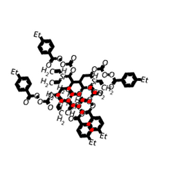 C=C[SiH](C=C)C(CC(C(C(CC(OC(=O)OOC(=O)c1ccc(CC)cc1)[SiH](C=C)C=C)C(OC(=O)OOC(=O)c1ccc(CC)cc1)[SiH](C=C)C=C)C(OC(=O)OOC(=O)c1ccc(CC)cc1)[SiH](C=C)C=C)C(OC(=O)OOC(=O)c1ccc(CC)cc1)[SiH](C=C)C=C)OC(=O)OOC(=O)c1ccc(CC)cc1